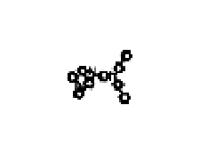 c1ccc(-c2ccc(N(c3ccc(-c4ccccc4)cc3)c3ccc(-c4nc5ccccc5c5c4ccc4c6ccccc6n(-c6ccccc6)c45)cc3)cc2)cc1